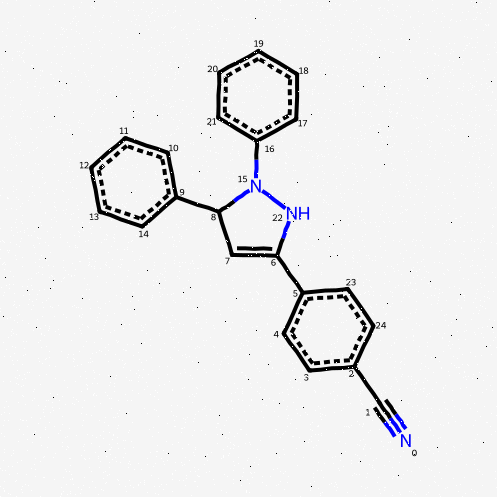 N#Cc1ccc(C2=CC(c3ccccc3)N(c3ccccc3)N2)cc1